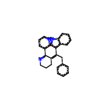 c1ccc(CC(=C2CCCN=C2c2cccnc2)c2c[nH]c3ccccc23)cc1